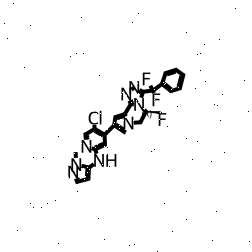 Cn1nccc1Nc1cc(-c2cc3n(c2)C[C@H](CF)n2c-3nnc2C(F)(F)c2ccccc2)c(Cl)cn1